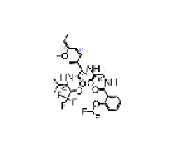 C=C(/C=C\C(=C/C)OC)[C@H](NC(=O)[C@H](C)NC(=O)c1ccccc1OC(F)F)C(=O)N[C@H](C(=O)C(F)(F)F)C(C)C